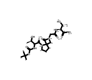 C[C@@H](O)C(NC(=O)OC(C)(C)C)C(=O)N1CCCC12CN(CC(=O)N[C@H](C(N)=O)[C@@H](C)O)C2=O